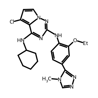 CCOc1cc(-c2nncn2C)ccc1Nc1nc(NC2CCCCC2)c2c(Cl)ccn2n1